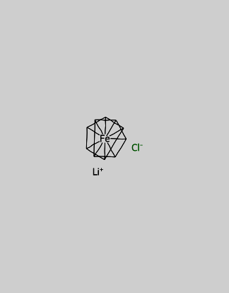 [CH]12[CH]3[CH]4[CH]5[CH]1[Fe]23451678[CH]2[CH]1[CH]6[CH]7[CH]28.[Cl-].[Li+]